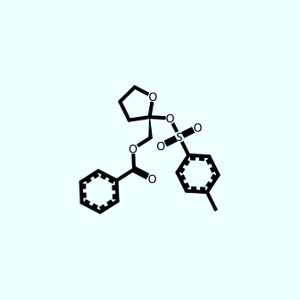 Cc1ccc(S(=O)(=O)O[C@]2(COC(=O)c3ccccc3)CCCO2)cc1